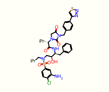 CC(C)CN(C[C@H](O)[C@H](Cc1ccccc1)NC(=O)[C@H](C(C)C)N1CC(=O)N(Cc2ccc(-c3csnn3)cc2)C1=O)S(=O)(=O)c1ccc(Cl)c(N)c1